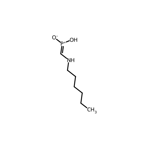 CCCCCCN/C=[P+](/[O-])O